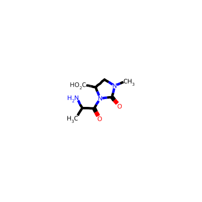 CC(N)C(=O)N1C(=O)N(C)CC1C(=O)O